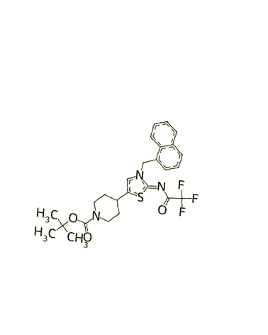 CC(C)(C)OC(=O)N1CCC(c2cn(Cc3cccc4ccccc34)/c(=N/C(=O)C(F)(F)F)s2)CC1